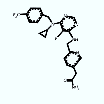 NC(=O)Cc1ccc(CNc2ncnc(N(Cc3ccc(C(F)(F)F)cc3)C3CC3)c2F)nc1